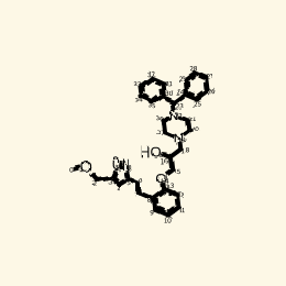 COCc1cc(C=Cc2ccccc2OCC(O)CN2CCN(C(c3ccccc3)c3ccccc3)CC2)no1